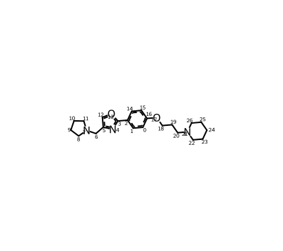 c1cc(-c2nc(CN3CCCC3)co2)ccc1OCCCN1CCCCC1